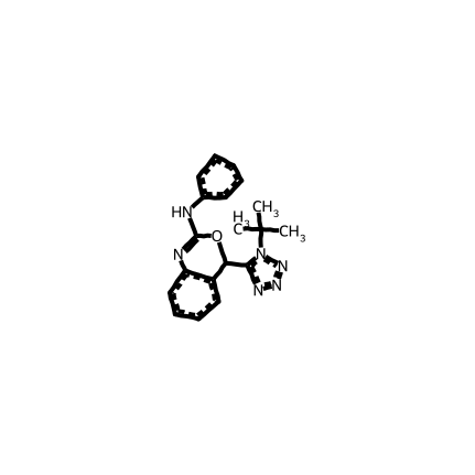 CC(C)(C)n1nnnc1C1OC(Nc2ccccc2)=Nc2ccccc21